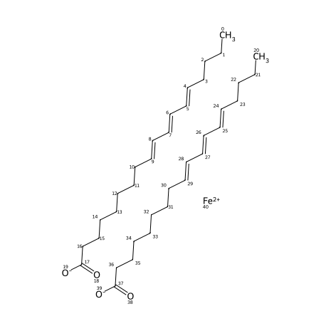 CCCCC=CC=CC=CCCCCCCCC(=O)[O-].CCCCC=CC=CC=CCCCCCCCC(=O)[O-].[Fe+2]